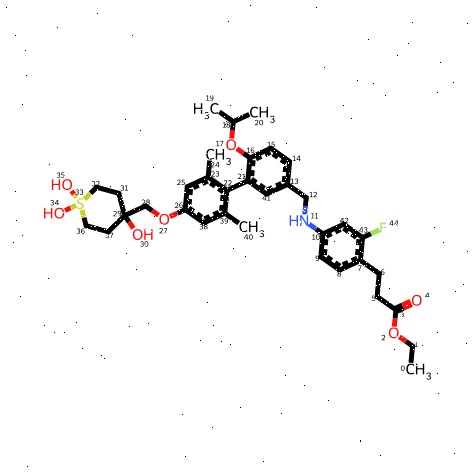 CCOC(=O)CCc1ccc(NCc2ccc(OC(C)C)c(-c3c(C)cc(OCC4(O)CCS(O)(O)CC4)cc3C)c2)cc1F